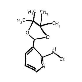 CCNc1ncccc1C1OC(C)(C)C(C)(C)O1